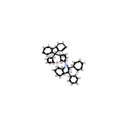 C1=CC2=C(CC1)c1ccccc1C21c2ccccc2B2c3c(cccc31)-n1c(-c3ccccc3)c(-c3ccccc3)c3cccc2c31